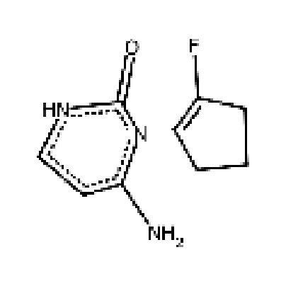 FC1=CCCC1.Nc1cc[nH]c(=O)n1